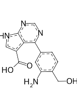 Nc1cc(-c2ncnc3[nH]cc(C(=O)O)c23)ccc1CO